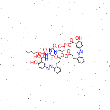 CCCCCOC(=O)NC1=NC(=O)N(C2O[C@H](C)[C@H](OC(=O)CCc3ccccc3/N=N/c3ccc(O)c(C(=O)O)c3)[C@@H]2OC(=O)CCc2ccccc2/N=N/c2ccc(O)c(C(=O)O)c2)CC1F